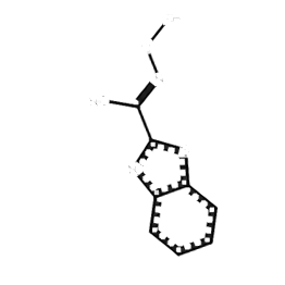 N#C/C(=N\OS)c1nc2ccccc2s1